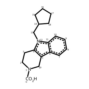 O=C(O)N1CCc2c(c3ccccc3n2CC2CCCC2)C1